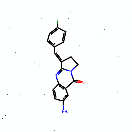 Nc1ccc2nc3n(c(=O)c2c1)CC/C3=C\c1ccc(F)cc1